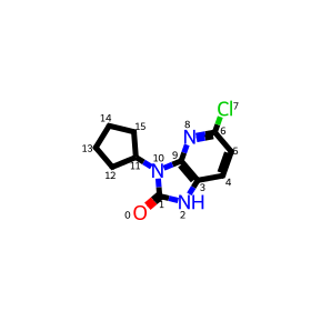 O=c1[nH]c2ccc(Cl)nc2n1C1CCCC1